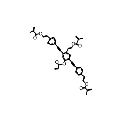 C=CC(=O)Oc1cc(C#Cc2ccc(/C=C/OC(=O)C(=C)C)cc2)c(/C=C/OC(=O)C(=C)C)cc1C#Cc1ccc(/C=C/OC(=O)C(=C)C)cc1